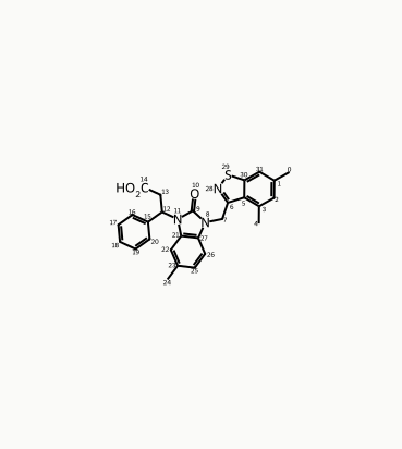 Cc1cc(C)c2c(Cn3c(=O)n(C(CC(=O)O)c4ccccc4)c4cc(C)ccc43)nsc2c1